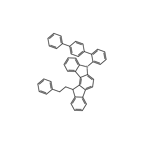 c1ccc(CCC2c3ccccc3-c3ccc4c(c32)c2ccccc2n4-c2ccccc2-c2ccc(-c3ccccc3)cc2)cc1